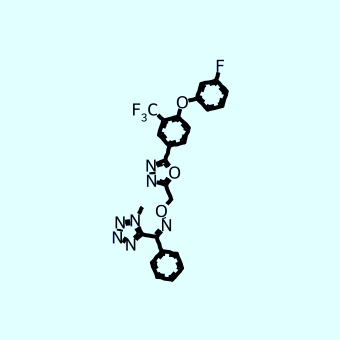 Cn1nnnc1/C(=N\OCc1nnc(-c2ccc(Oc3cccc(F)c3)c(C(F)(F)F)c2)o1)c1ccccc1